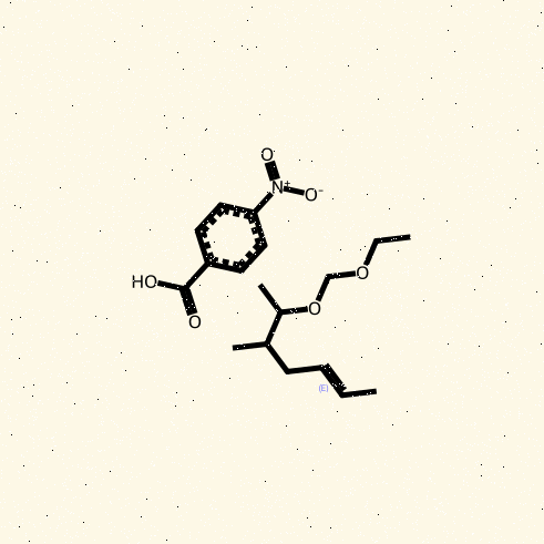 C/C=C/CC(C)C(C)OCOCC.O=C(O)c1ccc([N+](=O)[O-])cc1